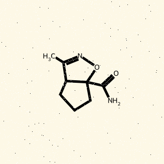 CC1=NOC2(C(N)=O)CCCC12